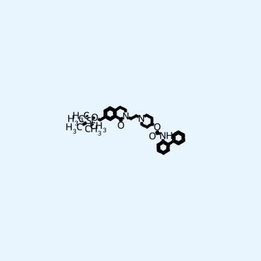 CC(C)(C)[Si](C)(C)OCc1ccc2c(c1)C(=O)N(CCN1CCC(OC(=O)Nc3ccccc3-c3ccccc3)CC1)CC2